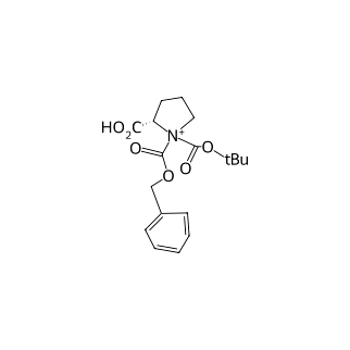 CC(C)(C)OC(=O)[N+]1(C(=O)OCc2ccccc2)CCC[C@H]1C(=O)O